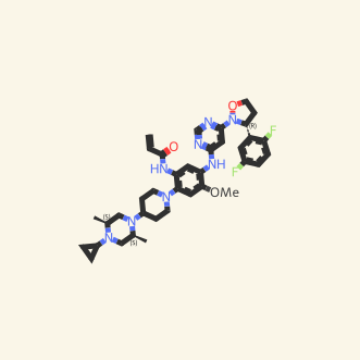 C=CC(=O)Nc1cc(Nc2cc(N3OCC[C@@H]3c3cc(F)ccc3F)ncn2)c(OC)cc1N1CCC(N2C[C@H](C)N(C3CC3)C[C@@H]2C)CC1